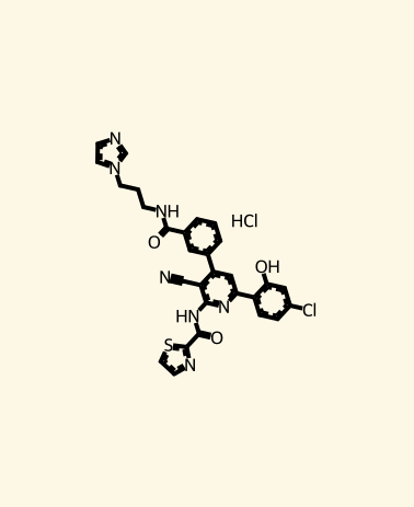 Cl.N#Cc1c(-c2cccc(C(=O)NCCCn3ccnc3)c2)cc(-c2ccc(Cl)cc2O)nc1NC(=O)c1nccs1